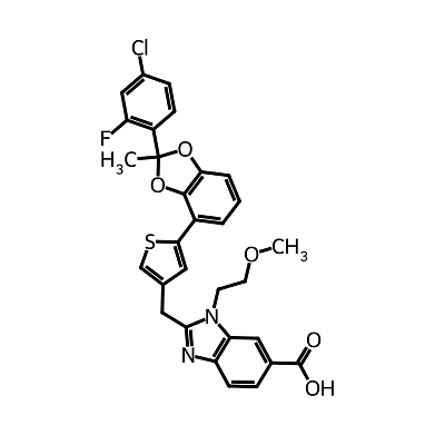 COCCn1c(Cc2csc(-c3cccc4c3OC(C)(c3ccc(Cl)cc3F)O4)c2)nc2ccc(C(=O)O)cc21